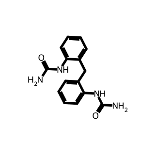 NC(=O)Nc1ccccc1Cc1ccccc1NC(N)=O